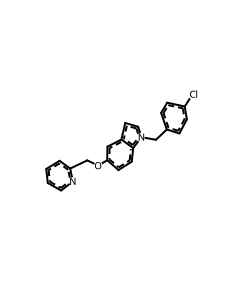 Clc1ccc(Cn2ccc3cc(OCc4ccccn4)ccc32)cc1